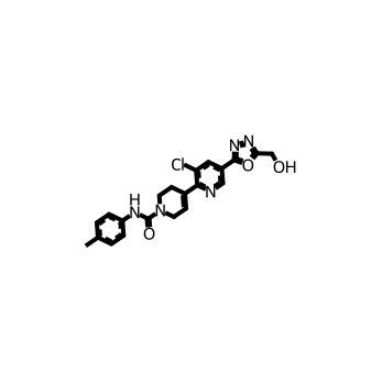 Cc1ccc(NC(=O)N2CC=C(c3ncc(-c4nnc(CO)o4)cc3Cl)CC2)cc1